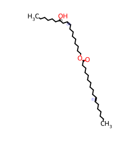 CCCCCC/C=C/CCCCCCCCCC(=O)OCCCCCCCC/C=C\C[C@H](O)CCCCCC